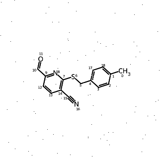 Cc1ccc(CSc2nc(C=O)ccc2C#N)cc1